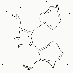 COc1ccccc1-c1noc(N)c1-c1ccncc1